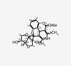 COC(=O)C1=C(C)NC(C)=C(C(=O)[C@@]2(O)CO[C@@H]3[C@@H](O)CO[C@@H]32)C1c1ccccc1